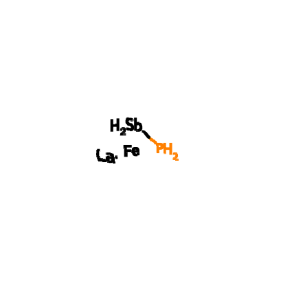 [Fe].[La].[PH2][SbH2]